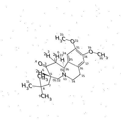 [2H]C1([2H])C(=O)[C@@]([2H])(CC(C)(C)C)CN2CCc3cc(OC)c(OC)cc3[C@@H]21